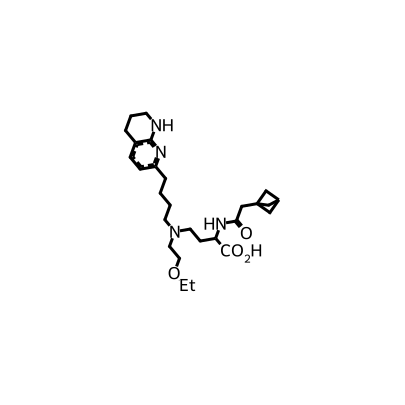 CCOCCN(CCCCc1ccc2c(n1)NCCC2)CCC(NC(=O)CC12CC(C1)C2)C(=O)O